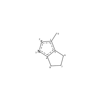 Cc1snc2c1CCC2